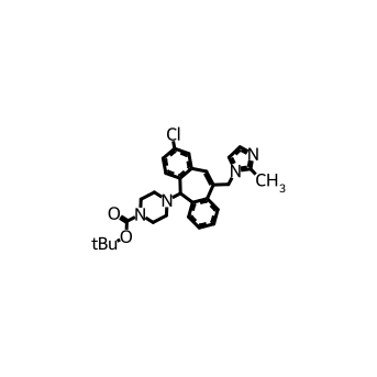 Cc1nccn1CC1=Cc2cc(Cl)ccc2C(N2CCN(C(=O)OC(C)(C)C)CC2)c2ccccc21